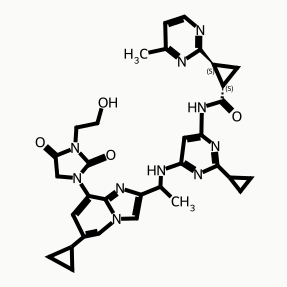 Cc1ccnc([C@H]2C[C@@H]2C(=O)Nc2cc(NC(C)c3cn4cc(C5CC5)cc(N5CC(=O)N(CCO)C5=O)c4n3)nc(C3CC3)n2)n1